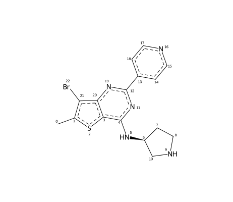 Cc1sc2c(N[C@H]3CCNC3)nc(-c3ccncc3)nc2c1Br